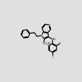 CCOC(=O)c1c(Nc2ccc(I)cc2F)c2cnccc2n1CCc1ccccc1